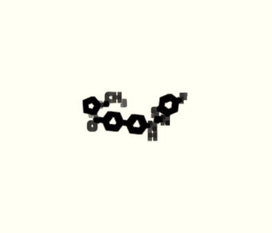 CC[C@@H]1CCC[C@H]1C(=O)c1ccc(-c2ccc(Nc3nc4cc(F)ccc4s3)cc2)cc1